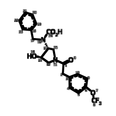 O=C(Cc1ccc(OC(F)(F)F)cc1)N1C[C@@H](O)[C@H](N(Cc2ccccc2)C(=O)O)C1